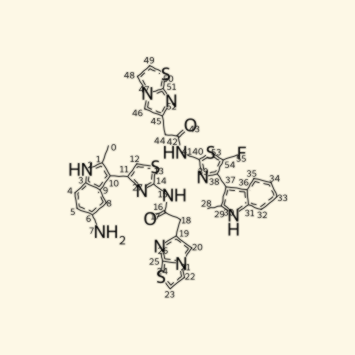 Cc1[nH]c2ccc(N)cc2c1-c1csc(NC(=O)Cc2cn3ccsc3n2)n1.Cc1[nH]c2ccccc2c1-c1nc(NC(=O)Cc2cn3ccsc3n2)sc1F